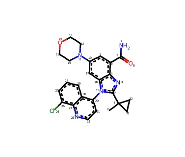 CC1(c2nc3c(C(N)=O)cc(N4CCOCC4)cc3n2-c2ccnc3c(Cl)cccc23)CC1